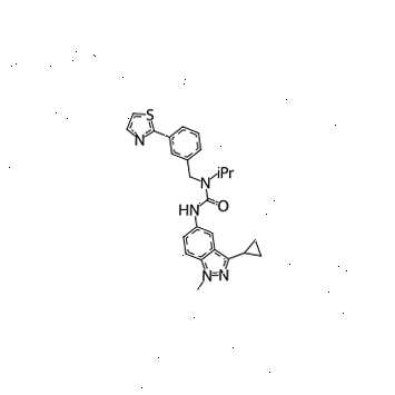 CC(C)N(Cc1cccc(-c2nccs2)c1)C(=O)Nc1ccc2c(c1)c(C1CC1)nn2C